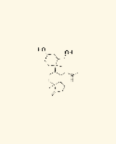 C=C1CCC2C(CNC)C(C3(C)CCC(O)CC3CO)CCC12C